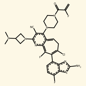 C=C(F)C(=O)N1CCN(c2c(C#N)c(N3CC(N(C)C)C3)nc3c2=CCC(Cl)=C(c2ccc(F)c4sc(N)nc24)C=3F)CC1